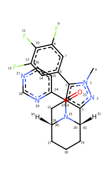 Cn1nc2c(c1-c1cc(F)c(F)c(F)c1)C[C@H]1CCC[C@@H]2N1C(=O)c1ccncn1